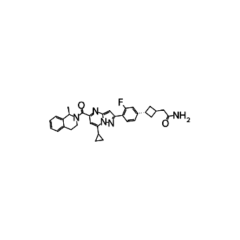 C[C@@H]1c2ccccc2CCN1C(=O)c1cc(C2CC2)n2nc(-c3ccc([C@H]4C[C@H](CC(N)=O)C4)cc3F)cc2n1